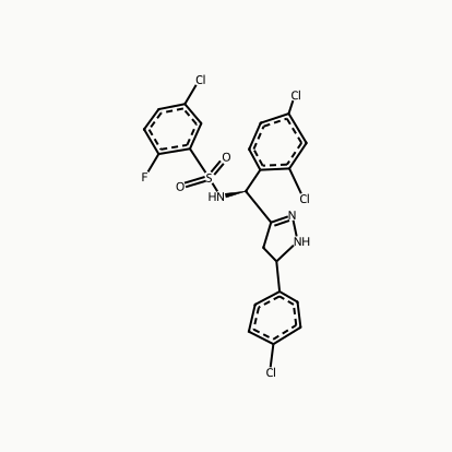 O=S(=O)(N[C@H](C1=NNC(c2ccc(Cl)cc2)C1)c1ccc(Cl)cc1Cl)c1cc(Cl)ccc1F